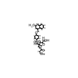 Cc1cc(COc2ccc(S(=O)(=O)NC3(CC(=O)NO)CN(C(=O)CC(C)(C)C)C3)cc2)c2ccccc2n1